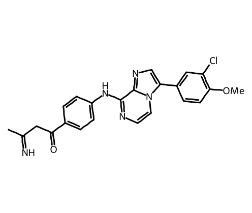 COc1ccc(-c2cnc3c(Nc4ccc(C(=O)CC(C)=N)cc4)nccn23)cc1Cl